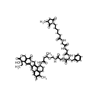 CC[C@@]1(O)C(=O)OCc2c1cc1n(c2=O)Cc2c-1nc1cc(F)c(C)c3c1c2[C@@H](NC(=O)C[C@@H](C)OCNC(=O)CNC(=O)[C@H](Cc1ccccc1)NC(=O)CNC(=O)CNC(=O)CCCCCN1C(=O)CC(C)C1=O)CC3